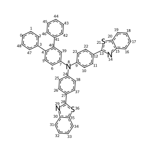 c1ccc(-c2ccc(N(c3ccc(-c4nc5ccccc5s4)cc3)c3ccc(-c4nc5ccccc5s4)cc3)cc2-c2ccccc2)cc1